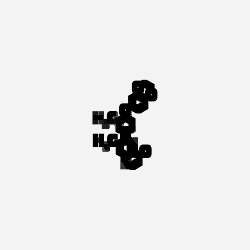 Cc1cc2nccc(=O)n2nc1N1CC[C@H](Oc2ccc3c(c2)OCCO3)[C@@H](C)C1